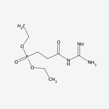 CCOP(=O)(CCC(=O)NC(=N)N)OCC